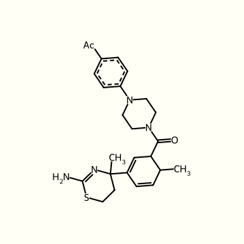 CC(=O)c1ccc(N2CCN(C(=O)C3C=C(C4(C)CCSC(N)=N4)C=CC3C)CC2)cc1